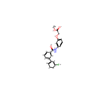 CC(C)OC(=O)COc1cccc(NC(=O)c2cccc(C3=CCCC(F)=C3)c2)c1